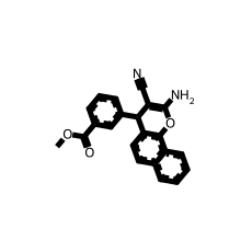 COC(=O)c1cccc(C2C(C#N)=C(N)Oc3c2ccc2ccccc32)c1